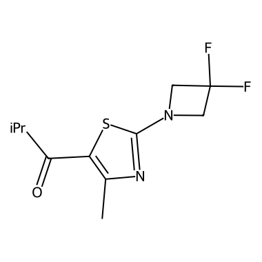 Cc1nc(N2CC(F)(F)C2)sc1C(=O)C(C)C